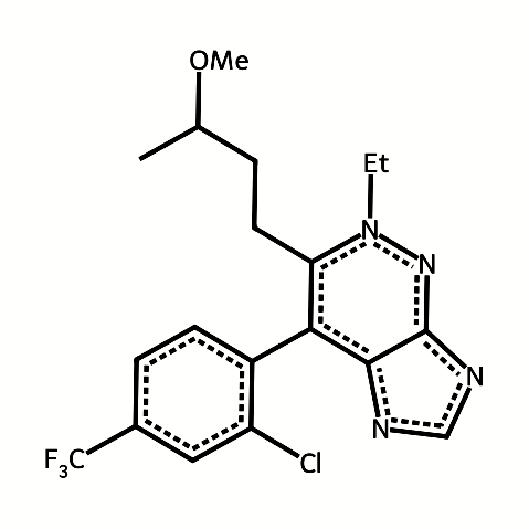 CCn1nc2ncnc-2c(-c2ccc(C(F)(F)F)cc2Cl)c1CCC(C)OC